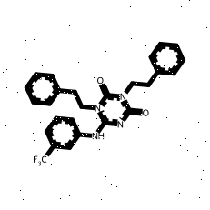 O=c1nc(Nc2cccc(C(F)(F)F)c2)n(CCc2ccccc2)c(=O)n1CCc1ccccc1